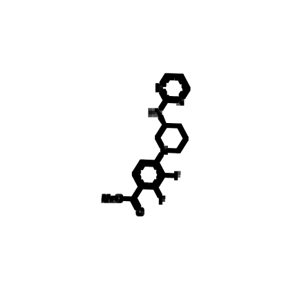 COC(=O)c1ccc(N2CCC[C@H](Nc3ncccn3)C2)c(F)c1F